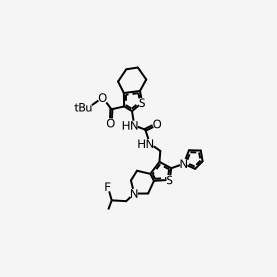 CC(F)CN1CCc2c(sc(-n3cccc3)c2CNC(=O)Nc2sc3c(c2C(=O)OC(C)(C)C)CCCC3)C1